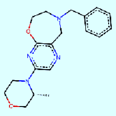 C[C@@H]1COCCN1c1cnc2c(n1)OCCN(Cc1ccccc1)C2